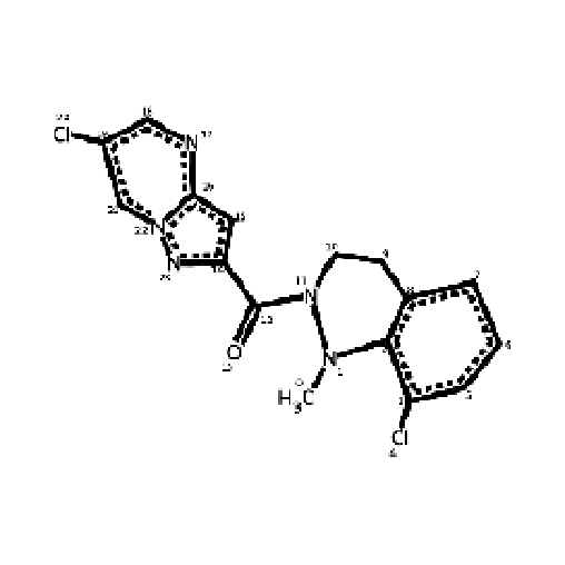 CN1c2c(Cl)cccc2CCN1C(=O)c1cc2ncc(Cl)cn2n1